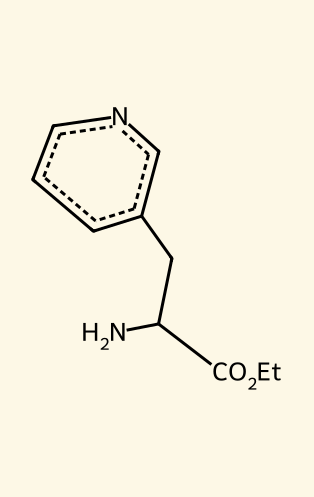 CCOC(=O)C(N)Cc1cccnc1